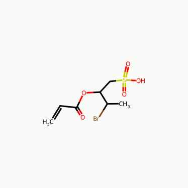 C=CC(=O)OC(CS(=O)(=O)O)C(C)Br